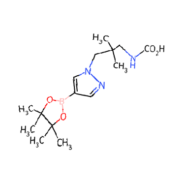 CC(C)(CNC(=O)O)Cn1cc(B2OC(C)(C)C(C)(C)O2)cn1